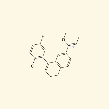 C/C=C(\OC)c1ccc2c(c1)C(c1cc(F)ccc1Cl)=CCC2